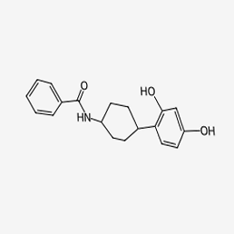 O=C(NC1CCC(c2ccc(O)cc2O)CC1)c1ccccc1